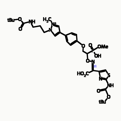 COP(=O)(O)C(COc1ccc(-c2cn(CCCNC(=O)OC(C)(C)C)[n+](C)c2)cc1)O/N=C(\C(=O)O)c1csc(NC(=O)OC(C)(C)C)n1